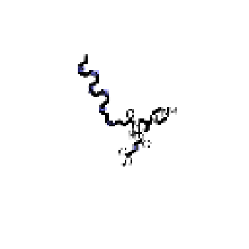 CC/C=C\C/C=C\C/C=C\C/C=C\C/C=C\C/C=C\CCC(=O)NCC(CNC(=O)/C=C/C(=O)OC)N1CCNCC1